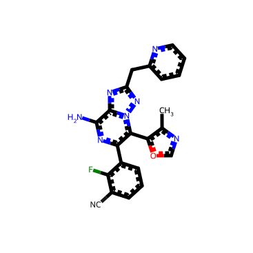 Cc1ncoc1-c1c(-c2cccc(C#N)c2F)nc(N)c2nc(Cc3ccccn3)nn12